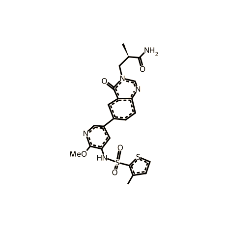 COc1ncc(-c2ccc3ncn(C[C@@H](C)C(N)=O)c(=O)c3c2)cc1NS(=O)(=O)c1sccc1C